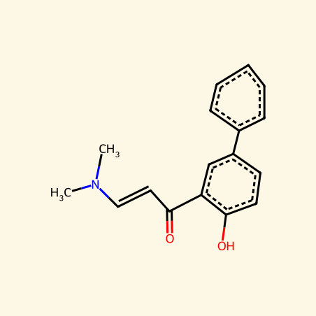 CN(C)/C=C/C(=O)c1cc(-c2ccccc2)ccc1O